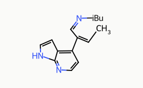 C/C=C(\C=N/C(C)CC)c1ccnc2[nH]ccc12